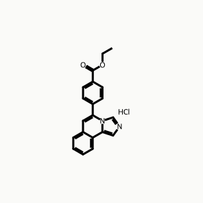 CCOC(=O)c1ccc(-c2cc3ccccc3c3cncn23)cc1.Cl